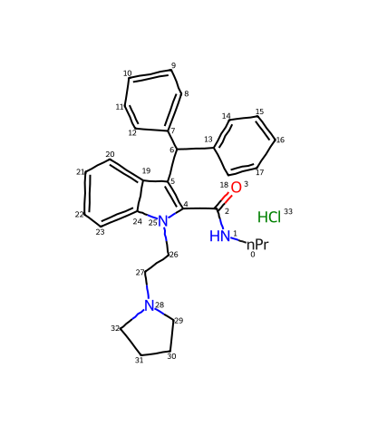 CCCNC(=O)c1c(C(c2ccccc2)c2ccccc2)c2ccccc2n1CCN1CCCC1.Cl